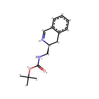 CC(C)(C)OC(=O)NC[C@@H]1Cc2ccccc2C=N1